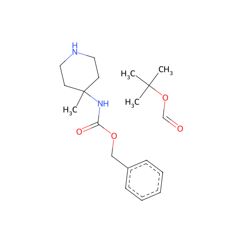 CC(C)(C)OC=O.CC1(NC(=O)OCc2ccccc2)CCNCC1